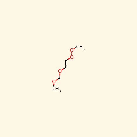 COCOCCOOC